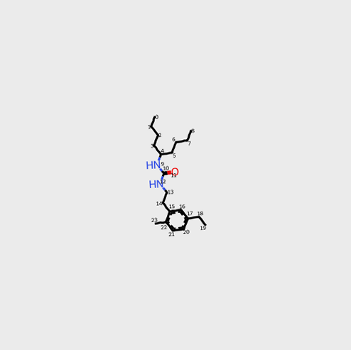 CCCCC(CCCC)NC(=O)NCCc1cc(CC)ccc1C